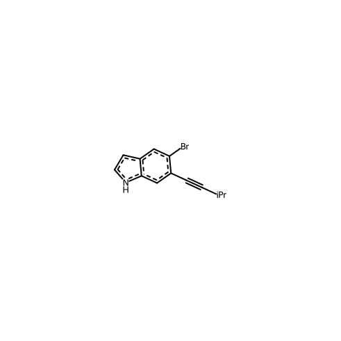 CC(C)C#Cc1cc2[nH]ccc2cc1Br